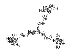 CC(=O)NC1C(O)[C@@H](O)C(CO)O[C@H]1OCCCCC(=O)NCCCNC(=O)CCOCC(COCCC(=O)NCCCNC(=O)CCCCO[C@@H]1OC(CO)[C@H](O)C(O)C1NC(C)=O)(COCCC(=O)NCCCNC(=O)CCCCO[C@@H]1CC(CO)[C@H](O)C(O)C1NC(C)=O)C(C)C